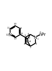 CCCN1CC2C=CC1C(c1cccnc1)C2